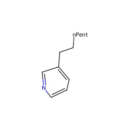 CCCCCCCc1cccnc1